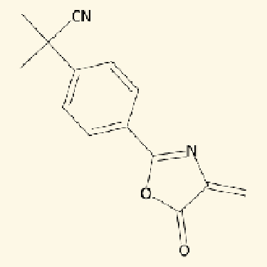 C=C1N=C(c2ccc(C(C)(C)C#N)cc2)OC1=O